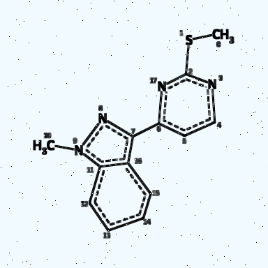 CSc1nccc(-c2nn(C)c3ccccc23)n1